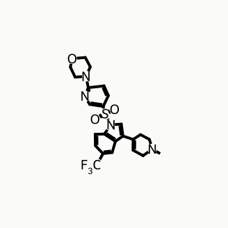 CN1CC=C(c2cn(S(=O)(=O)c3ccc(N4CCOCC4)nc3)c3ccc(C(F)(F)F)cc23)CC1